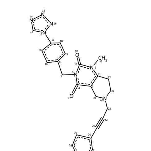 Cn1c2c(c(=O)n(Cc3ccc(-n4cnnn4)cc3)c1=O)CN(CC#Cc1ccccc1)CC2